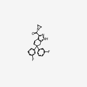 O=C(c1n[nH]c2c1C=CC(c1cccc(F)c1)(c1cccc(F)c1)C2)N1CC1